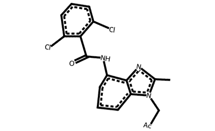 CC(=O)Cn1c(C)nc2c(NC(=O)c3c(Cl)cccc3Cl)cccc21